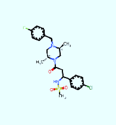 C[C@@H]1CN(Cc2ccc(F)cc2)[C@@H](C)CN1C(=O)CC(NS(C)(=O)=O)c1ccc(Cl)cc1